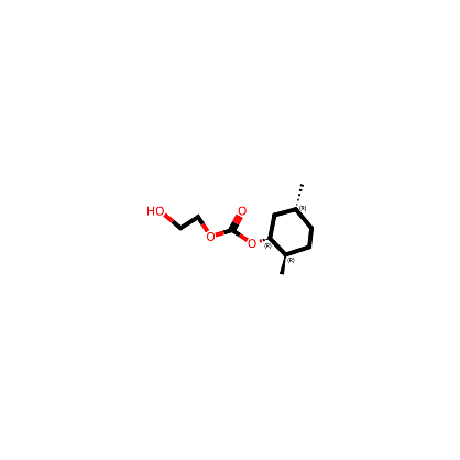 C[C@@H]1CC[C@@H](C)[C@H](OC(=O)OCCO)C1